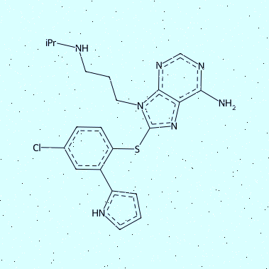 CC(C)NCCCn1c(Sc2ccc(Cl)cc2-c2ccc[nH]2)nc2c(N)ncnc21